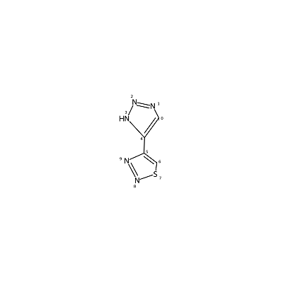 [c]1nn[nH]c1-c1csnn1